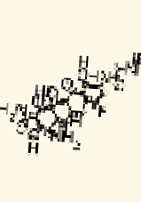 CC[C@H](C)NCC(=O)Nc1cc(F)c2c(c1O)C(=O)C1=C(O)[C@]3(O)C(=O)C(C(N)=O)=C(O)[C@@H](N)[C@@H]3C[C@@H]1C2